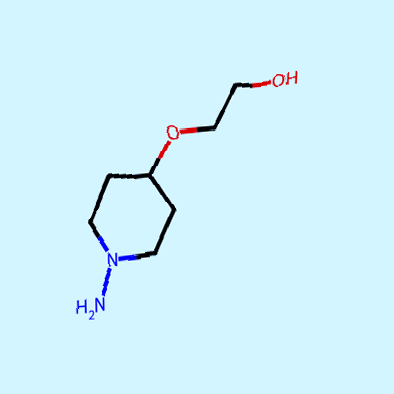 NN1CCC(OCCO)CC1